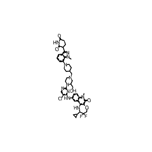 Cn1nc(C2CCC(=O)NC2=O)c2cccc(N3CCC(CN4CCN(c5ncc(Cl)c(Nc6ccc7c(c6)c6c(c(=O)n7C)OCC(F)(F)C(C7CC7)N6)n5)C(CO)C4)CC3)c21